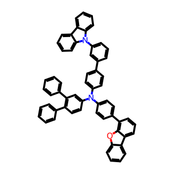 c1ccc(-c2ccc(N(c3ccc(-c4cccc(-n5c6ccccc6c6ccccc65)c4)cc3)c3ccc(-c4cccc5c4oc4ccccc45)cc3)cc2-c2ccccc2)cc1